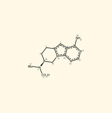 CC(C)(C)N(C(=O)O)[C@H]1CCc2cc3c(N)ncnc3n2C1